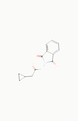 O=C(CC1CC1)SN1C(=O)c2ccccc2C1=O